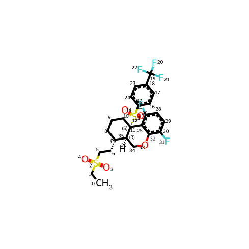 CCS(=O)(=O)CC[C@@H]1CCC[C@@]2(S(=O)(=O)c3ccc(C(F)(F)F)cc3)c3c(F)ccc(F)c3OC[C@@H]12